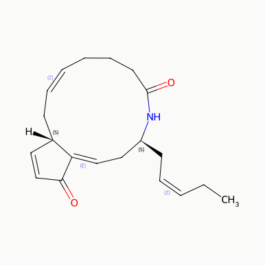 CC/C=C\C[C@H]1C/C=C2/C(=O)C=C[C@@H]2C/C=C\CCCC(=O)N1